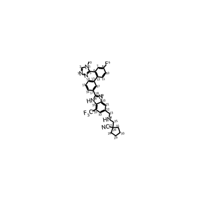 Cn1cnnc1-c1cc(F)ccc1-c1cccc(-c2nc3cc(CNCC4(C#N)CCCC4)cc(C(F)(F)F)c3[nH]2)c1